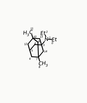 CCN(CC)C12CC3CC(C)(CC(C)(C3)C1)C2